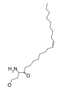 CCCCCCCC/C=C\CCCCCCCC(=O)C(N)CC[O]